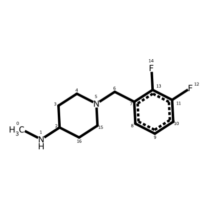 CNC1CCN(Cc2cccc(F)c2F)CC1